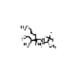 CCCCC(C)(CN[C@@H](C)C(F)(F)F)C(C)CC